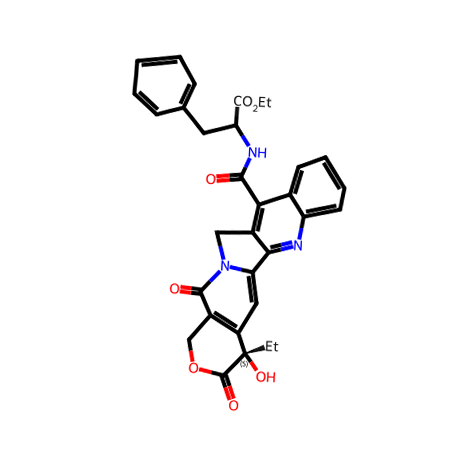 CCOC(=O)C(Cc1ccccc1)NC(=O)c1c2c(nc3ccccc13)-c1cc3c(c(=O)n1C2)COC(=O)[C@]3(O)CC